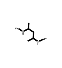 CC(C)NC(C)CC(C)NC(C)C